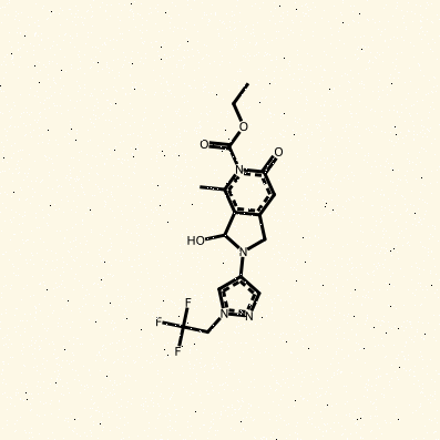 CCOC(=O)n1c(C)c2c(cc1=O)CN(c1cnn(CC(F)(F)F)c1)C2O